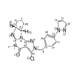 CN1C(=O)c2c(nn(Cc3ccc(-n4cccn4)cc3)c2Cl)N2C1=N[C@@H]1CCC[C@@H]12